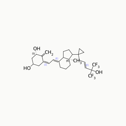 C=C1/C(=C\C=C2/CCC[C@@]3(C)C2CCC3C2(C/C=C/C(O)(C(F)(F)F)C(F)(F)F)CC2)CC(O)C[C@@H]1O